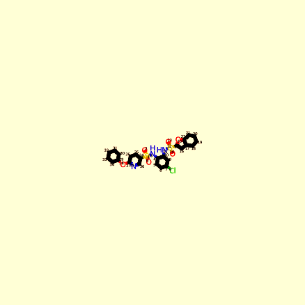 O=S(=O)(Nc1ccc(Cl)cc1NS(=O)(=O)c1cc2ccccc2o1)c1ccc(Oc2ccccc2)nc1